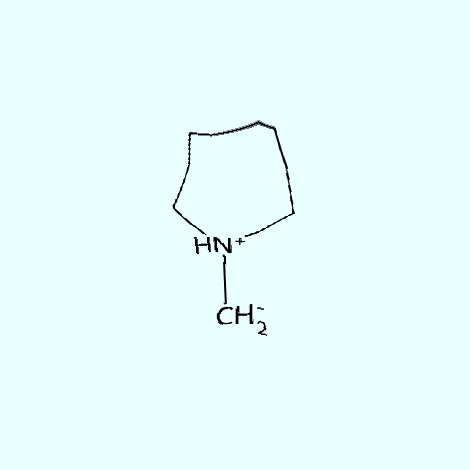 [CH2-][NH+]1CCCC1